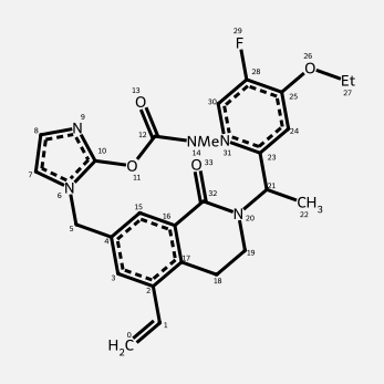 C=Cc1cc(Cn2ccnc2OC(=O)NC)cc2c1CCN(C(C)c1cc(OCC)c(F)cn1)C2=O